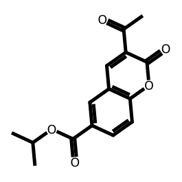 CC(=O)c1cc2cc(C(=O)OC(C)C)ccc2oc1=O